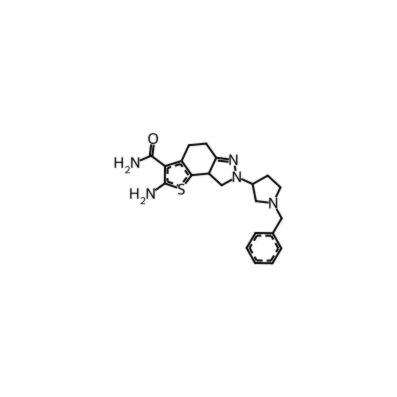 NC(=O)c1c(N)sc2c1CCC1=NN(C3CCN(Cc4ccccc4)C3)CC12